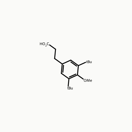 COc1c(C(C)(C)C)cc(CCC(=O)O)cc1C(C)(C)C